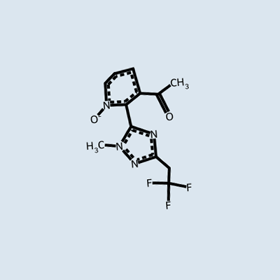 CC(=O)c1ccc[n+]([O-])c1-c1nc(CC(F)(F)F)nn1C